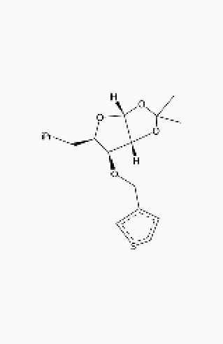 CC(C)C[C@H]1O[C@@H]2OC(C)(C)O[C@@H]2[C@H]1OCc1ccsc1